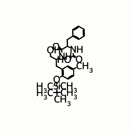 Cc1ccc(O[Si](C)(C)C(C)(C)C)c(CC(CO)NC(=O)C(Cc2ccccc2)NC(=O)O)c1